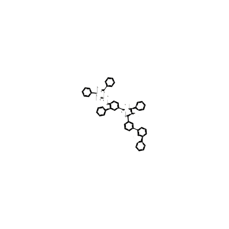 c1ccc(-c2nc(-c3ccccc3)nc(-n3c4ccccc4c4cc(-c5nc(-c6cccc(-c7cccc8c7sc7ccccc78)c6)c6sc7ccccc7c6n5)ccc43)n2)cc1